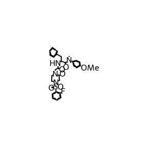 COc1ccc(N(C)C(=O)C(Cc2ccccc2)NC(=O)CN2CCN(S(=O)(=O)c3ccccc3F)CC2=O)cc1